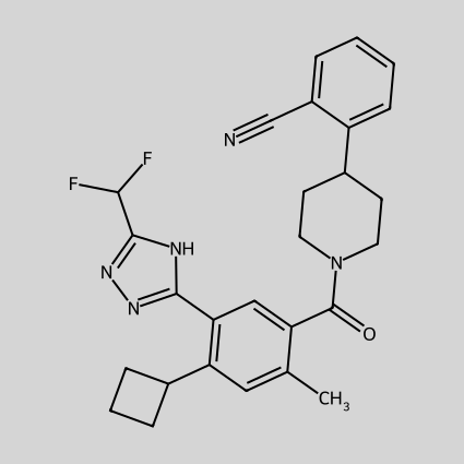 Cc1cc(C2CCC2)c(-c2nnc(C(F)F)[nH]2)cc1C(=O)N1CCC(c2ccccc2C#N)CC1